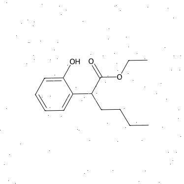 CCCCC(C(=O)OCC)c1ccccc1O